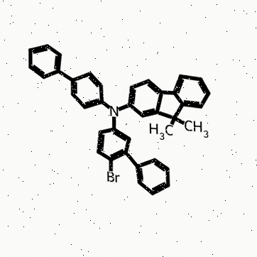 CC1(C)c2ccccc2-c2ccc(N(c3ccc(-c4ccccc4)cc3)c3ccc(Br)c(-c4ccccc4)c3)cc21